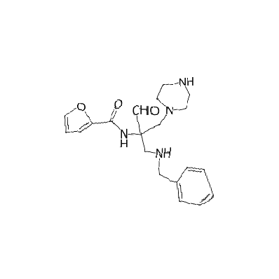 O=CC(CNCc1ccccc1)(CN1CCNCC1)NC(=O)c1ccco1